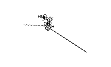 CC#CC#CC#CC#CC#CC#CC#CC#CC#CC#CC#CC#CC(=O)N[C@@H](CO[C@H]1OC(COS(=O)(=O)O)[C@H](C)[C@H](C)C1C)[C@H](O)[C@H](O)C=CCCCCCCCCCCCC